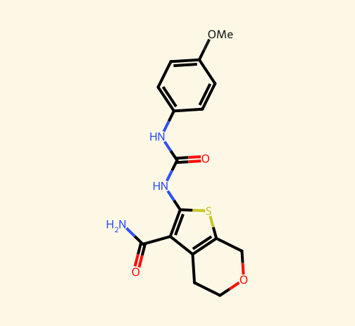 COc1ccc(NC(=O)Nc2sc3c(c2C(N)=O)CCOC3)cc1